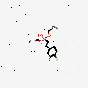 CCO[Si](O)(CCc1ccc(F)c(F)c1)OCC